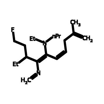 C=N/C(=C(\C=C/CC(=C)C)N(CC)CCC)C(CC)CCF